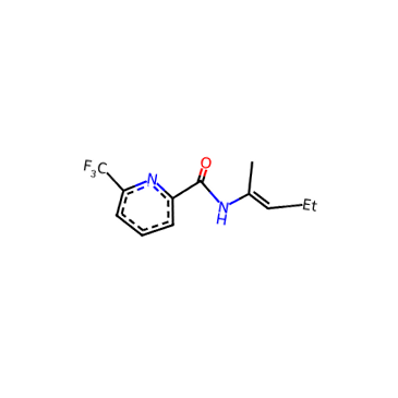 CC/C=C(\C)NC(=O)c1cccc(C(F)(F)F)n1